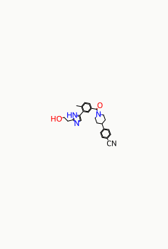 Cc1ccc(C(=O)N2CCC(c3ccc(C#N)cc3)CC2)cc1-c1cnc(CCO)[nH]1